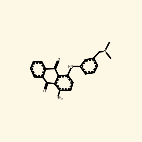 CN(C)Cc1cccc(Nc2ccc(N)c3c2C(=O)c2ccccc2C3=O)c1